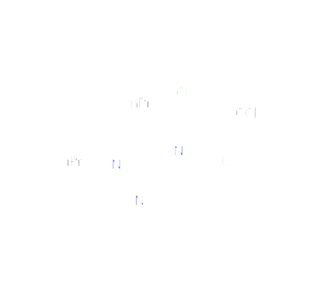 CCCC1N(C(C)C)N=CN1C(Cl)(Cl)C(Cl)(Cl)Cl